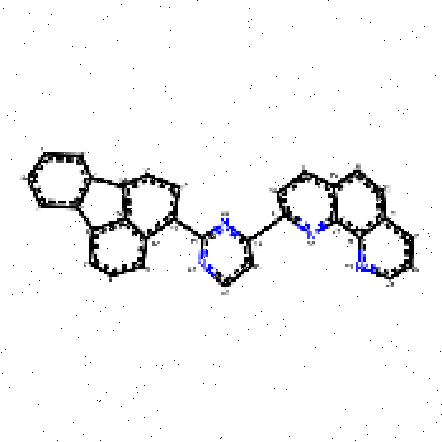 c1ccc2c(c1)-c1cccc3c(-c4nccc(-c5ccc6ccc7cccnc7c6n5)n4)ccc-2c13